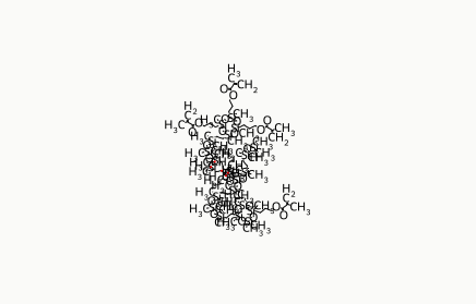 C=C(C)C(=O)OCCC[Si]1(C)O[Si](C)(C)O[Si](C)(CC[Si](C)(C)O[Si](C)(C)O[Si](C)(C)CC[Si](C)(C)O[Si](O[Si](C)(C)CC[Si](C)(C)C)(O[Si](C)(C)CC[Si](C)(C)O[SiH](C)C)O[Si](C)(C)CC[Si](C)(C)O[Si](C)(C)O[Si](C)(C)CC[Si]2(C)O[Si](C)(CCCOC(=O)C(=C)C)O[Si](C)(CCCOC(=O)C(=C)C)O[Si](C)(CCCOC(=O)C(=C)C)O2)O[Si](C)(CC)O1